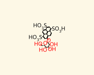 O=S(=O)(O)c1cc(O[C@@H]2O[C@H](CO)[C@@H](O)[C@H](O)[C@H]2O)c2ccc3c(S(=O)(=O)O)cc(S(=O)(=O)O)c4ccc1c2c34